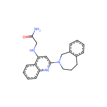 NC(=O)CNc1cc(N2CCCc3ccccc3C2)nc2ccccc12